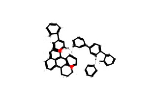 c1ccc(-n2c3ccccc3c3ccc(-c4cccc(N(c5ccc6oc7ccccc7c6c5)c5ccccc5-c5cccc6cccc(C7CCCCC7)c56)c4)cc32)cc1